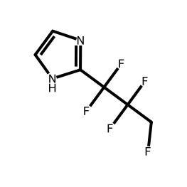 FCC(F)(F)C(F)(F)c1ncc[nH]1